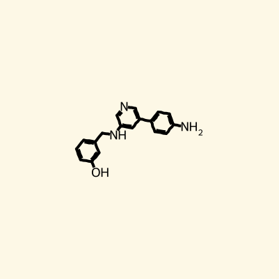 Nc1ccc(-c2cncc(NCc3cccc(O)c3)c2)cc1